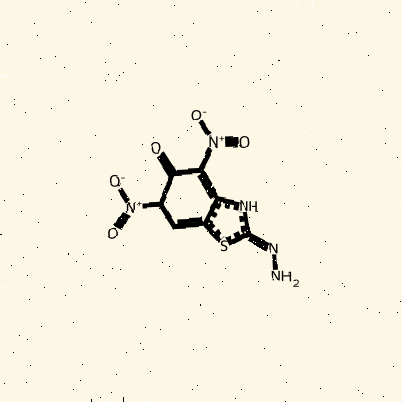 NN=c1[nH]c2c(s1)=CC([N+](=O)[O-])C(=O)C=2[N+](=O)[O-]